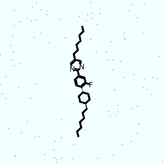 CCCCCCCc1cnc(-c2ccc([C@H]3CC[C@H](CCCCCCC)CC3)c(F)c2)nc1